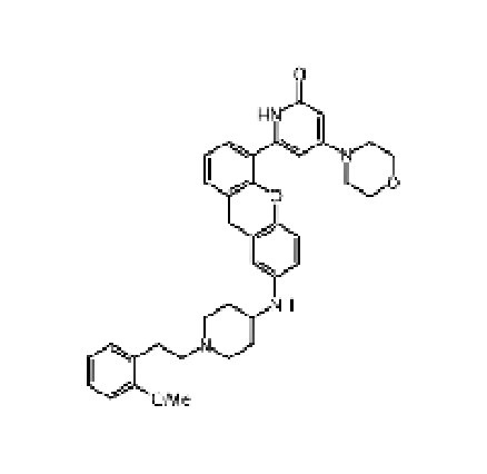 COc1ccccc1CCN1CCC(Nc2ccc3c(c2)Cc2cccc(-c4cc(N5CCOCC5)cc(=O)[nH]4)c2O3)CC1